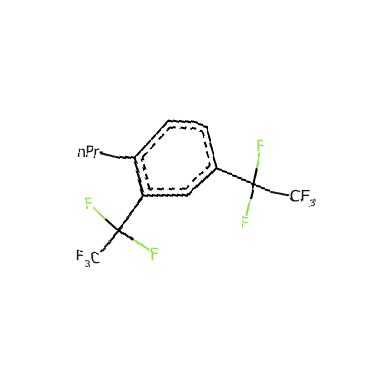 [CH2]CCc1ccc(C(F)(F)C(F)(F)F)cc1C(F)(F)C(F)(F)F